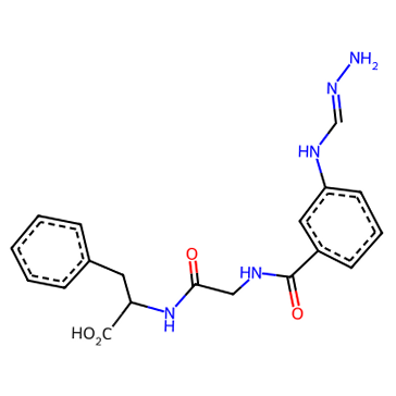 NN=CNc1cccc(C(=O)NCC(=O)NC(Cc2ccccc2)C(=O)O)c1